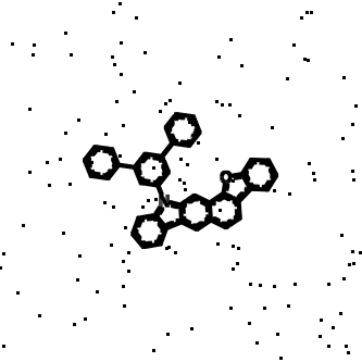 c1ccc(-c2cc(-c3ccccc3)cc(-n3c4ccccc4c4cc5ccc6c7ccccc7oc6c5cc43)c2)cc1